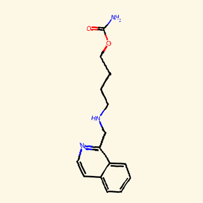 NC(=O)OCCCCNCc1nccc2ccccc12